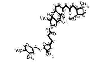 C=C1CO[C@@H](CC[C@@H]2OC(CCC(=O)C[C@H]3OC4C(O)[C@H]5OC(CC(=O)CC6[C@H](C)OC[C@@H]6OC)CCC5O[C@H]4C3O)CC2=C)C[C@H]1C